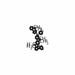 CC1(C)c2ccccc2-c2ccc(N(c3ccccc3)c3ccc4c(c3)C(C)(C)c3cc5c(cc3-4)C(C)(C)c3cccc4c6ccccc6n-5c34)cc21